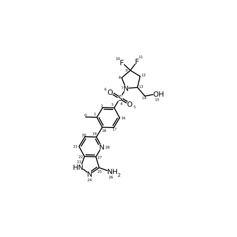 Cc1cc(S(=O)(=O)N2CC(F)(F)CC2CO)ccc1-c1ccc2[nH]nc(N)c2n1